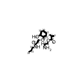 C=C(C)C(=O)OCCN.C=CC(=O)NCCC.Oc1ccccc1O